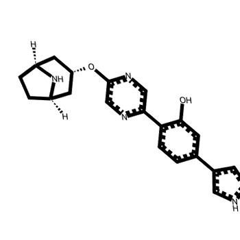 Oc1cc(-c2cn[nH]c2)ccc1-c1cnc(O[C@@H]2C[C@H]3CC[C@@H](C2)N3)cn1